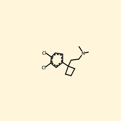 CN(C)CCC1(c2ccc(Cl)c(Cl)c2)CCC1